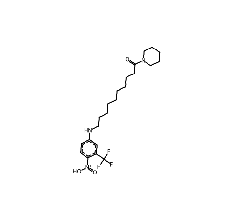 O=C(CCCCCCCCCNc1ccc([N+](=O)O)c(C(F)(F)F)c1)N1CCCCC1